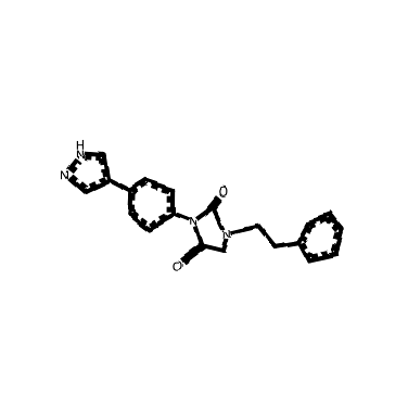 O=C1CN(CCc2ccccc2)C(=O)N1c1ccc(-c2cn[nH]c2)cc1